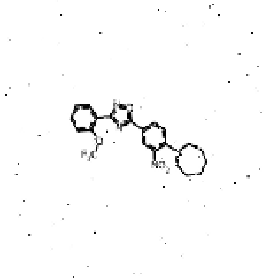 O=[N+]([O-])c1cc(-c2nc(-c3ccccc3OC(F)(F)F)no2)ccc1N1CCCCCC1